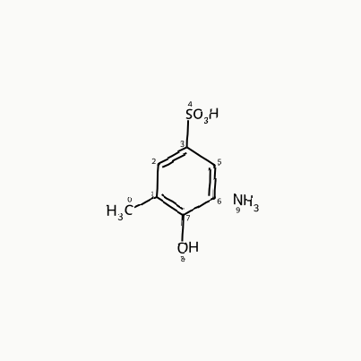 Cc1cc(S(=O)(=O)O)ccc1O.N